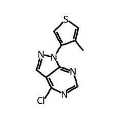 Cc1cscc1-n1ncc2c(Cl)ncnc21